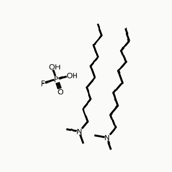 CCCCCCCCCCN(C)C.CCCCCCCCCCN(C)C.O=P(O)(O)F